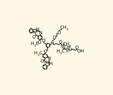 CCCOCCOCCN(CCCC(=O)N(C)CC(C)(C)SSCCCC(=O)O)c1cc(COc2cc3c(cc2C)C(=O)N2c4ccccc4C[C@H]2C=N3)cc(COc2cc3c(cc2OC)C(=O)N2c4ccccc4C[C@H]2C=N3)c1